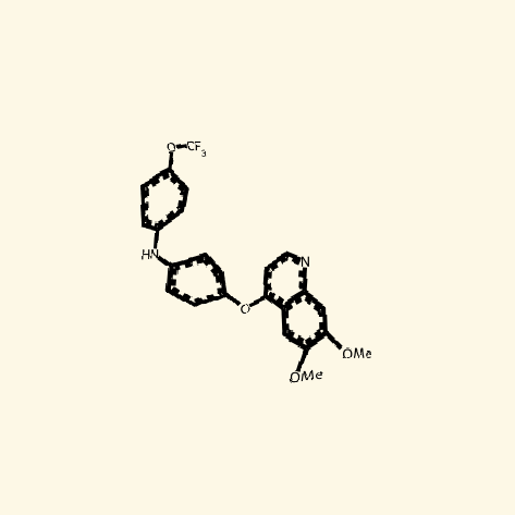 COc1cc2nccc(Oc3ccc(Nc4ccc(OC(F)(F)F)cc4)cc3)c2cc1OC